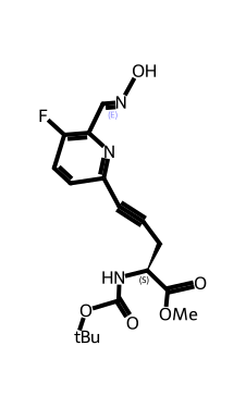 COC(=O)[C@H](CC#Cc1ccc(F)c(/C=N/O)n1)NC(=O)OC(C)(C)C